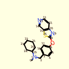 CN(Cc1ccc(Oc2nc3ccncc3s2)cc1)C1CCCCC1